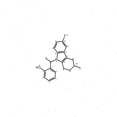 CC(c1ccccc1O)n1c2c(c3cc(F)ccc31)CN(C)CC2